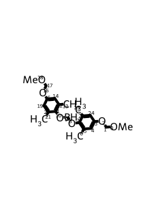 COCOc1cc(C)c(OBOc2c(C)cc(OCOC)cc2C)c(C)c1